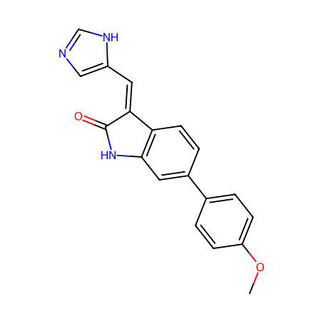 COc1ccc(-c2ccc3c(c2)NC(=O)C3=Cc2cnc[nH]2)cc1